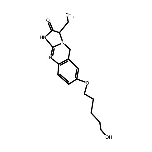 CCC1C(=O)NC2=Nc3ccc(OCCCCCO)cc3CN21